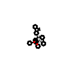 CC1(C)c2ccccc2-c2ccc(N(c3cccc(-c4ccccc4)c3)c3cccc4c5ccccc5n(-c5ccc(-c6ccccc6)cc5)c34)cc21